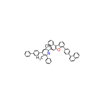 CC1=C=C(c2ccc(-c3ccccc3)cc2)C(C)=C(c2ccccc2)N=C1c1cc2oc3c(-c4ccc(-c5cccc6ccccc56)cc4)cccc3c2c2ccccc12